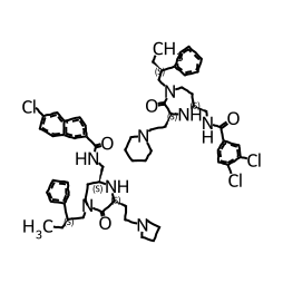 CC[C@H](CN1CC[C@@H](CNC(=O)c2ccc(Cl)c(Cl)c2)N[C@@H](CCN2CCCCC2)C1=O)c1ccccc1.CC[C@H](CN1CC[C@@H](CNC(=O)c2ccc3cc(Cl)ccc3c2)N[C@@H](CCN2CCCC2)C1=O)c1ccccc1